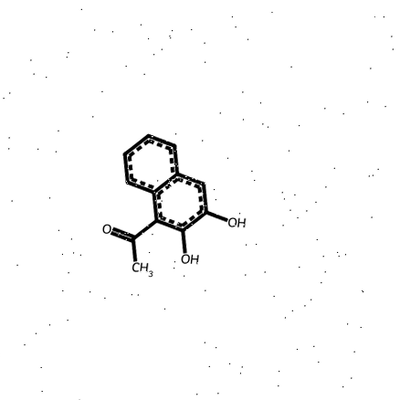 CC(=O)c1c(O)c(O)cc2ccccc12